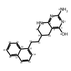 Nc1nc(O)c2c(n1)NCC(CCc1cccc3ccccc13)C2